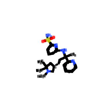 CC(CC[C@@H]1CN(C(=O)O)C(C)(C)C1)(Nc1cccc(S(N)(=O)=O)n1)c1ccccn1